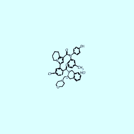 Cc1cccc(N(C(=O)c2cc(-c3cc(Cl)ccc3C(=O)N3Cc4ccccc4C[C@H]3CN3CCOCC3)n3c2CCCC3)c2ccc(O)cc2)c1.Cl